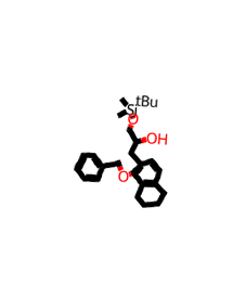 CC(C)(C)[Si](C)(C)OCC(O)Cc1ccc2c(c1OCc1ccccc1)CCCC2